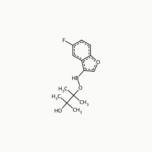 CC(C)(O)C(C)(C)OBc1coc2ccc(F)cc12